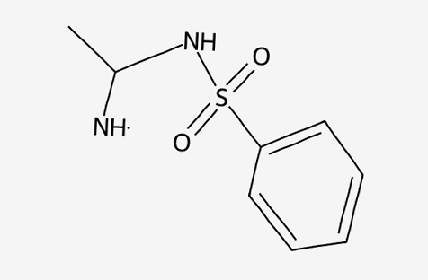 CC([NH])NS(=O)(=O)c1ccccc1